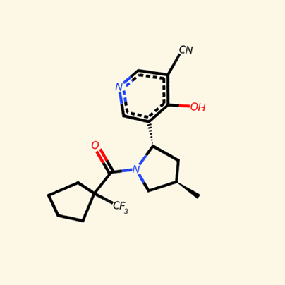 C[C@@H]1C[C@@H](c2cncc(C#N)c2O)N(C(=O)C2(C(F)(F)F)CCCC2)C1